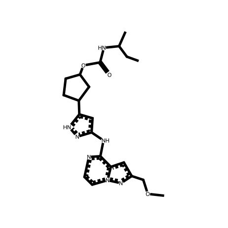 CCC(C)NC(=O)OC1CCC(c2cc(Nc3nccn4nc(COC)cc34)n[nH]2)C1